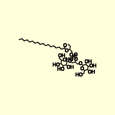 CCCCCCCCCCCCCCCCCC(=O)OC(CC)COP(=O)(O)OC(COC1OC(CO)C(O)C(O)C1O)COC1OC(CO)C(O)C(O)C1O